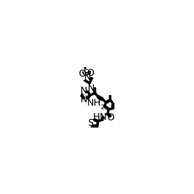 Cc1ccc(C(=O)NCc2ccsc2)cc1C#Cc1cn(C2CN(S(C)(=O)=O)C2)c2ncnc(N)c12